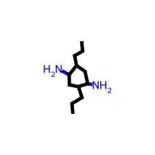 CCCC1CC(N)C(CCC)CC1N